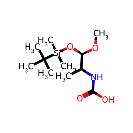 COC(O[Si](C)(C)C(C)(C)C)C(C)NC(=O)O